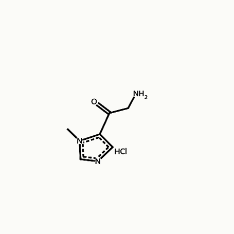 Cl.Cn1cncc1C(=O)CN